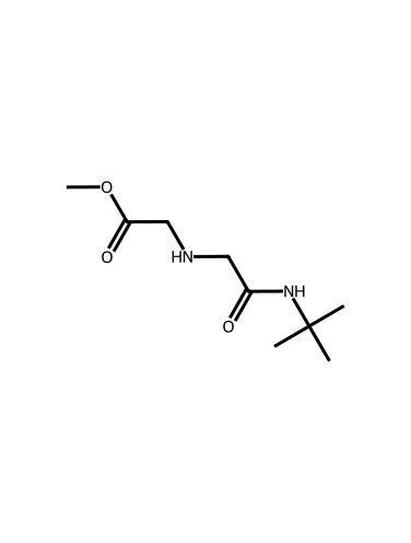 COC(=O)CNCC(=O)NC(C)(C)C